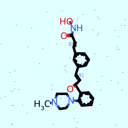 CN1CCN(c2ccccc2C(=O)/C=C/c2cccc(/C=C/C(=O)NO)c2)CC1